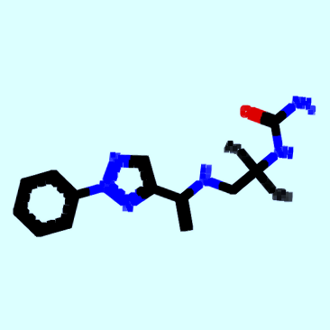 C=C(NCC(NC(N)=O)(C(C)=O)C(C)(C)C)c1cnn(-c2ccccc2)n1